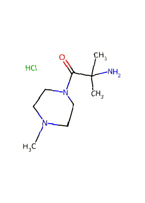 CN1CCN(C(=O)C(C)(C)N)CC1.Cl